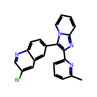 Cc1cccc(-c2nc3ccccn3c2-c2ccc3ncc(Br)cc3c2)n1